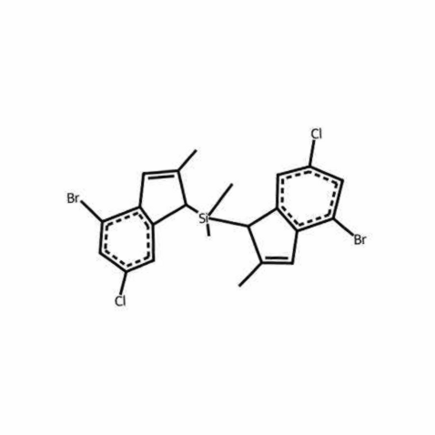 CC1=Cc2c(Br)cc(Cl)cc2C1[Si](C)(C)C1C(C)=Cc2c(Br)cc(Cl)cc21